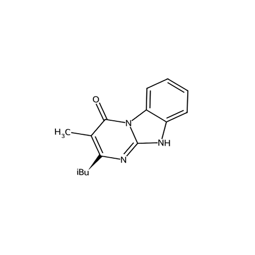 CC[C@H](C)c1nc2[nH]c3ccccc3n2c(=O)c1C